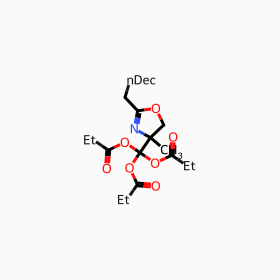 CCCCCCCCCCCC1=NC(C)(C(OC(=O)CC)(OC(=O)CC)OC(=O)CC)CO1